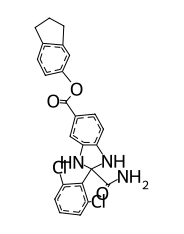 NC(=O)C1(c2c(Cl)cccc2Cl)Nc2ccc(C(=O)Oc3ccc4c(c3)CCC4)cc2N1